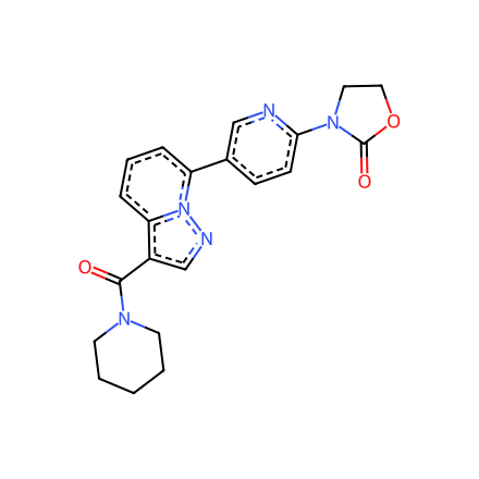 O=C(c1cnn2c(-c3ccc(N4CCOC4=O)nc3)cccc12)N1CCCCC1